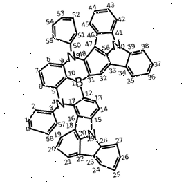 c1ccc(N2c3cccc4c3B(c3ccc5c(c32)c2cccc3c6ccccc6n5c32)c2cc3c5ccccc5n5c6ccccc6c(c2N4c2ccccc2)c35)cc1